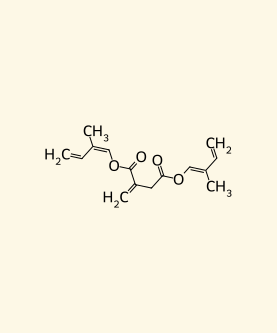 C=CC(C)=COC(=O)CC(=C)C(=O)OC=C(C)C=C